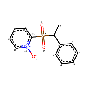 CC(c1ccccc1)S(=O)(=O)c1cccc[n+]1[O-]